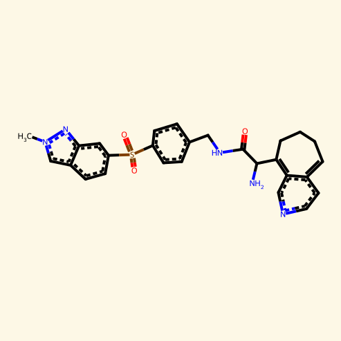 Cn1cc2ccc(S(=O)(=O)c3ccc(CNC(=O)C(N)C4=c5cnccc5=CCCC4)cc3)cc2n1